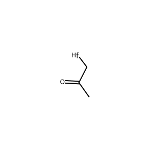 CC(=O)[CH2][Hf]